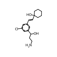 NCCC(O)c1cc(Cl)cc(C=CC2(O)CCCCC2)c1